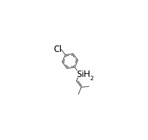 CC(C)=C[SiH2]c1ccc(Cl)cc1